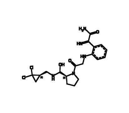 N=C(C(N)=O)c1ccccc1NCC(=O)N1CCC[C@H]1C(O)NC[C@H]1CC1(Cl)Cl